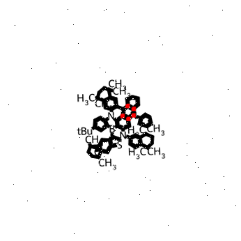 CC(C)(C)c1ccc2c(c1)B1c3c(cc(N(c4ccccc4)c4ccccc4)cc3N(c3ccc4c(c3)C(C)(C)CCC4(C)C)c3sc4cc5c(cc4c31)C1(C)CCC5(C)CC1)N2c1cc2c(cc1-c1ccccc1)C(C)(C)CCC2(C)C